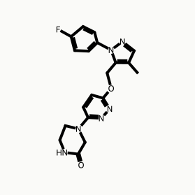 Cc1cnn(-c2ccc(F)cc2)c1COc1ccc(N2CCNC(=O)C2)nn1